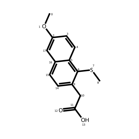 COc1ccc2c(SC)c(CC(=O)O)ccc2c1